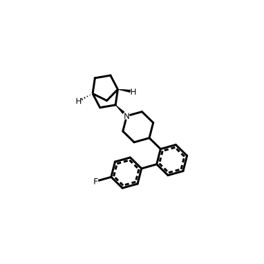 Fc1ccc(-c2ccccc2C2CCN([C@H]3C[C@H]4CC[C@H]3C4)CC2)cc1